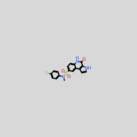 CN(c1ccc(F)cc1)S(=O)(=O)c1ccc2[nH]c(=O)c3[nH]ccc3c2c1